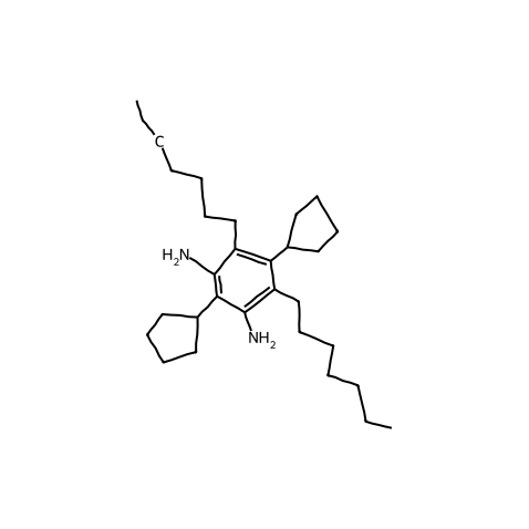 CCCCCCCc1c(N)c(C2CCCC2)c(N)c(CCCCCCC)c1C1CCCC1